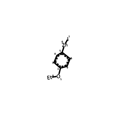 CCOc1cc[c]([Zn][I])cc1